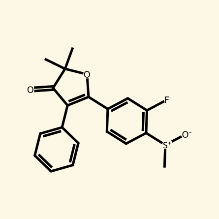 C[S+]([O-])c1ccc(C2=C(c3ccccc3)C(=O)C(C)(C)O2)cc1F